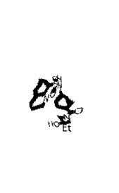 CCC1(O)CN(C(=O)c2ccc(NS(=O)(=O)c3cccc4cccnc34)cc2)C1